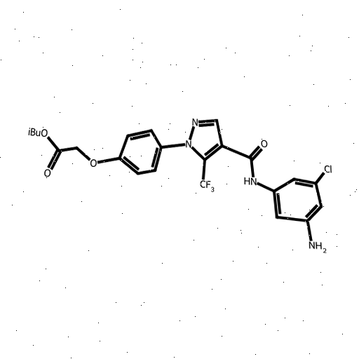 CC(C)COC(=O)COc1ccc(-n2ncc(C(=O)Nc3cc(N)cc(Cl)c3)c2C(F)(F)F)cc1